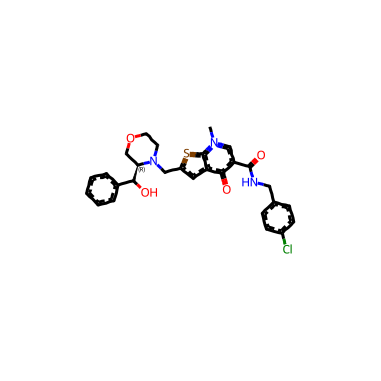 Cn1cc(C(=O)NCc2ccc(Cl)cc2)c(=O)c2cc(CN3CCOC[C@@H]3C(O)c3ccccc3)sc21